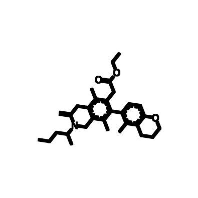 C=C1Cc2c(C)c(CC(=O)OCC)c(-c3ccc4c(c3C)CCCO4)c(C)c2CN1C(C)CCC